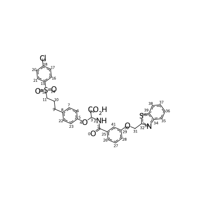 O=C(NC(Oc1ccc(CCCS(=O)(=O)c2ccc(Cl)cc2)cc1)C(=O)O)c1cccc(OCc2nc3ccccc3s2)c1